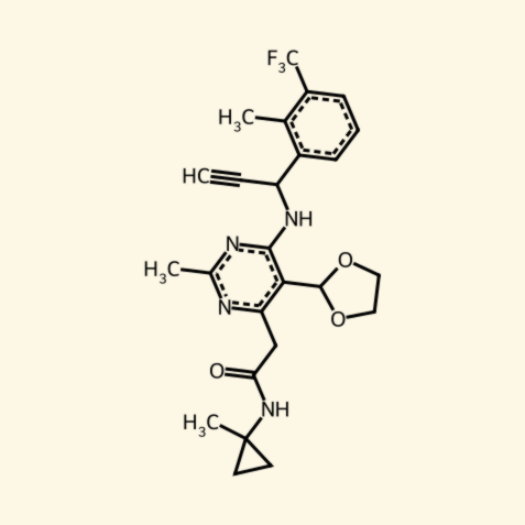 C#CC(Nc1nc(C)nc(CC(=O)NC2(C)CC2)c1C1OCCO1)c1cccc(C(F)(F)F)c1C